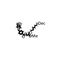 CCCCCCCCCCCCCCCCOCC(COC(=O)c1ccc(CN2[CH]N(CCC)C=C2)cc1)OC